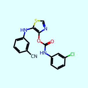 N#Cc1cccc(Nc2scnc2OC(=O)Nc2cccc(Cl)c2)c1